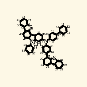 CC12C=C(N(c3ccc(-c4ccccc4)cc3)c3ccc(C4C=CC=C5c6ccccc6SC54)cc3)C=CC1c1c(ccc3c1sc1ccccc13)N2c1ccccc1